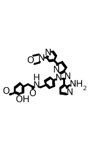 Nc1ncccc1-c1nc2ccc(-c3ccnc(N4CCOCC4)c3)nc2n1-c1ccc(CNC(=O)Cc2ccc(C=O)c(O)c2)cc1